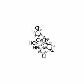 O=C(O)c1[nH]c2c(c1-c1c(Cc3ccc(Cl)cc3)cnn1-c1ccc(F)cc1)=CCC(Cl)C=2